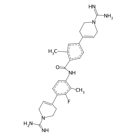 Cc1cc(C2=CCN(C(=N)N)CC2)ccc1C(=O)Nc1ccc(C2=CCN(C(=N)N)CC2)c(F)c1C